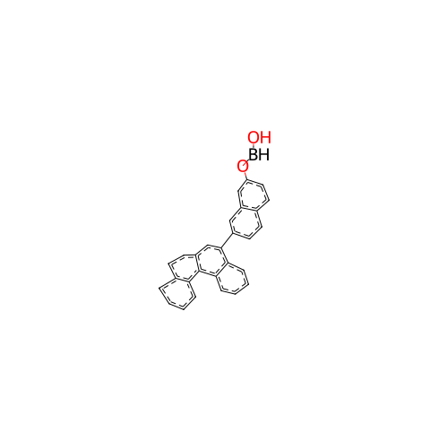 OBOc1ccc2ccc(-c3cc4ccc5ccccc5c4c4ccccc34)cc2c1